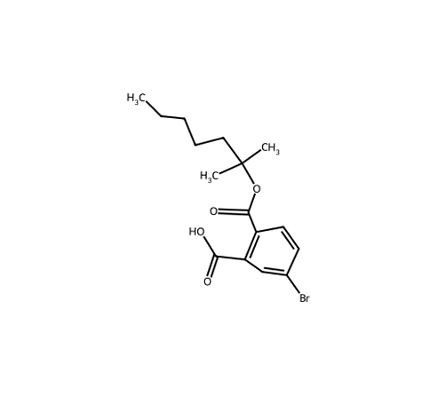 CCCCCC(C)(C)OC(=O)c1ccc(Br)cc1C(=O)O